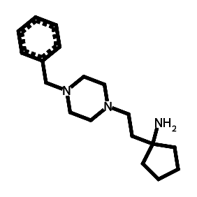 NC1(CCN2CCN(Cc3ccccc3)CC2)CCCC1